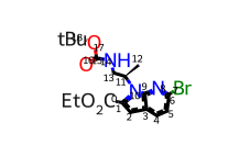 CCOC(=O)c1cc2ccc(Br)nc2n1[C@H](C)CNC(=O)OC(C)(C)C